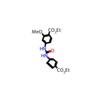 CCOC(=O)c1ccc(NC(=O)Nc2ccc(C(=O)OCC)c(OC)c2)cc1